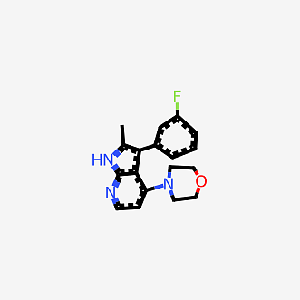 Cc1[nH]c2nccc(N3CCOCC3)c2c1-c1cccc(F)c1